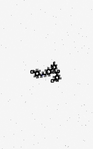 Cc1ccc(NC(=O)c2ccnc(Cl)c2)c(C2CCN(C/C=C/c3ccc(Cl)cc3)CC2)n1